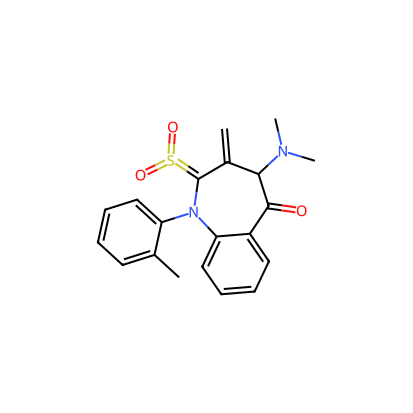 C=C1C(=S(=O)=O)N(c2ccccc2C)c2ccccc2C(=O)C1N(C)C